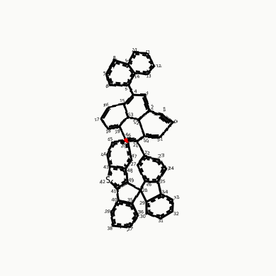 C1=CC2=CC(c3cccc4ccccc34)=C3C=CC=C4C=C(c5ccc6c(c5)C5(c7ccccc7-6)c6ccccc6-c6sc7ccccc7c65)C(=C1)C2C43